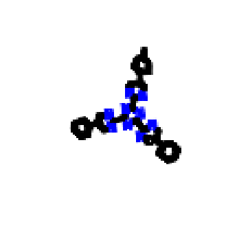 Cc1ccc(-c2cnc(-c3nc(-c4ncc(-c5ccccc5)cn4)nc(-c4ncc(-c5ccccc5)cn4)n3)nc2)cc1